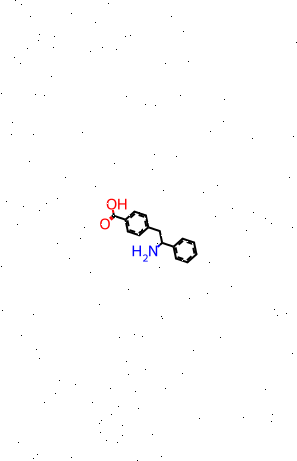 NC(Cc1ccc(C(=O)O)cc1)c1ccccc1